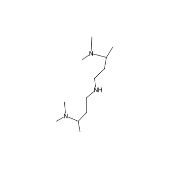 CC(CCNCCC(C)N(C)C)N(C)C